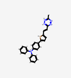 Cc1nnc(/C=C/c2ccc(-c3ccc(N(c4ccccc4)c4ccccc4)cc3)s2)nn1